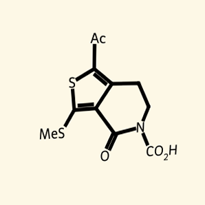 CSc1sc(C(C)=O)c2c1C(=O)N(C(=O)O)CC2